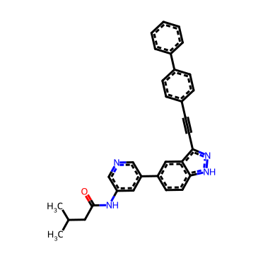 CC(C)CC(=O)Nc1cncc(-c2ccc3[nH]nc(C#Cc4ccc(-c5ccccc5)cc4)c3c2)c1